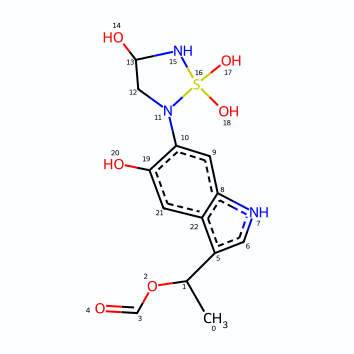 CC(OC=O)c1c[nH]c2cc(N3CC(O)NS3(O)O)c(O)cc12